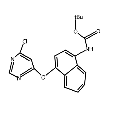 CC(C)(C)OC(=O)Nc1ccc(Oc2cc(Cl)ncn2)c2ccccc12